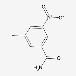 NC(=O)c1cc(F)cc([N+](=O)[O-])c1